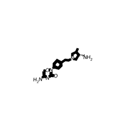 CC1CN(CCc2ccc(-n3ccc(N)nc3=O)cc2)C[C@H]1CN